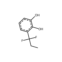 CCC(F)(F)c1cccc(O)c1O